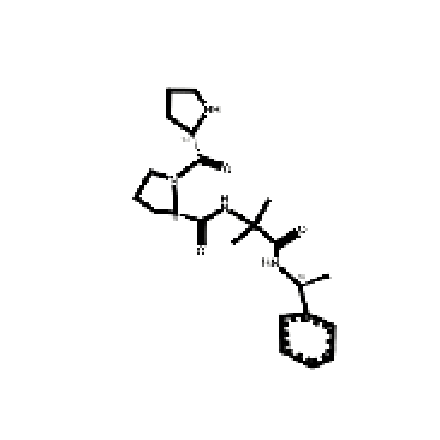 C[C@H](NC(=O)C(C)(C)NC(=O)[C@H]1CCCN1C(=O)[C@@H]1CCCN1)c1ccccc1